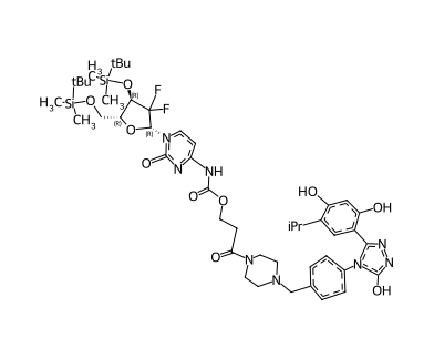 CC(C)c1cc(-c2nnc(O)n2-c2ccc(CN3CCN(C(=O)CCOC(=O)Nc4ccn([C@@H]5O[C@H](CO[Si](C)(C)C(C)(C)C)[C@@H](O[Si](C)(C)C(C)(C)C)C5(F)F)c(=O)n4)CC3)cc2)c(O)cc1O